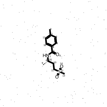 Cc1ccc(C(=O)N[C@@H](C)CCS(C)(=O)=O)cc1